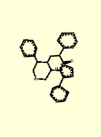 NC(=O)C(CC1C(c2ccccc2)CNCC1c1occc1-c1ccccc1)c1ccccc1